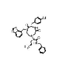 C=CCN(C(=O)NCc1ccccc1)N1CCN(Cc2cccc3ncsc23)C(=O)[C@H](Cc2ccc(O)cc2)NC(=O)C1